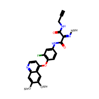 C#CCNC(=O)/C(=N\NC)C(=O)Nc1ccc(Oc2ccnc3cc(OC)c(OC)cc23)c(F)c1